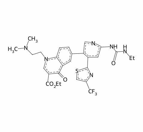 CCNC(=O)Nc1cc(-c2nc(C(F)(F)F)cs2)c(-c2ccc3c(c2)c(=O)c(C(=O)OCC)cn3CCN(C)C)cn1